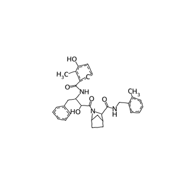 Cc1ccccc1CNC(=O)C1C2CCC(C2)N1C(=O)C(O)C(Cc1ccccc1)NC(=O)c1cccc(O)c1C